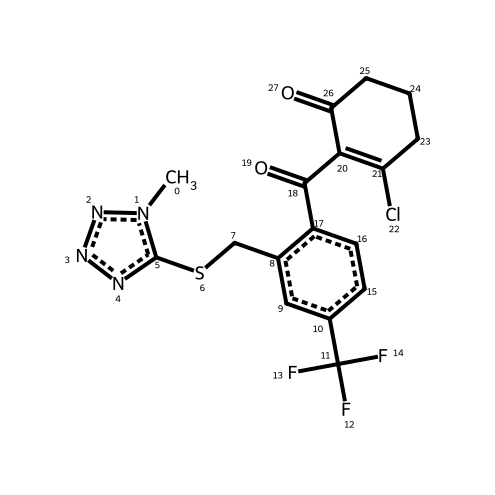 Cn1nnnc1SCc1cc(C(F)(F)F)ccc1C(=O)C1=C(Cl)CCCC1=O